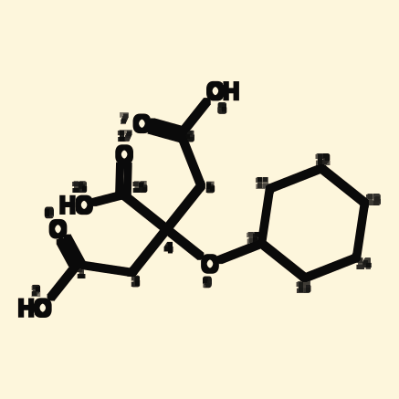 O=C(O)CC(CC(=O)O)(OC1CCCCC1)C(=O)O